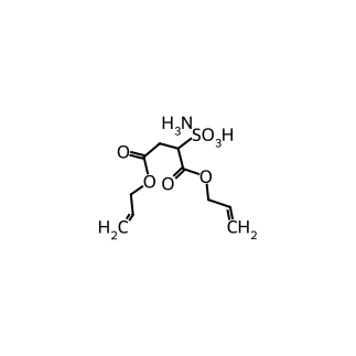 C=CCOC(=O)CC(C(=O)OCC=C)S(=O)(=O)O.N